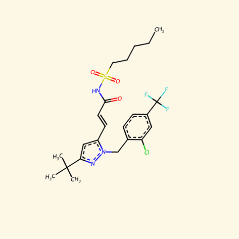 CCCCCS(=O)(=O)NC(=O)/C=C/c1cc(C(C)(C)C)nn1Cc1ccc(C(F)(F)F)cc1Cl